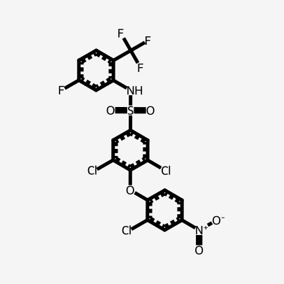 O=[N+]([O-])c1ccc(Oc2c(Cl)cc(S(=O)(=O)Nc3cc(F)ccc3C(F)(F)F)cc2Cl)c(Cl)c1